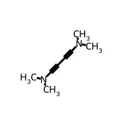 CN(C)C#CC#CN(C)C